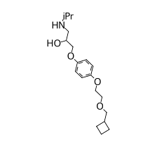 CC(C)NCC(O)COc1ccc(OCCOCC2CCC2)cc1